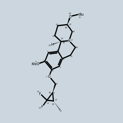 COc1cc2c(cc1OC[C@H]1[C@H](C)C1(F)F)CCN1C[C@H](OC(C)(C)C)CC[C@H]21